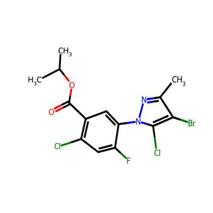 Cc1nn(-c2cc(C(=O)OC(C)C)c(Cl)cc2F)c(Cl)c1Br